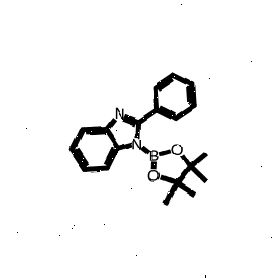 CC1(C)OB(n2c(-c3ccccc3)nc3ccccc32)OC1(C)C